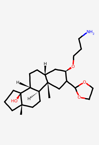 C[C@]12CC(C3OCCO3)[C@H](OCCCN)C[C@H]1CC[C@@H]1[C@@H]2CC[C@]2(C)CCC[C@]12O